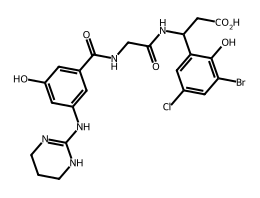 O=C(O)CC(NC(=O)CNC(=O)c1cc(O)cc(NC2=NCCCN2)c1)c1cc(Cl)cc(Br)c1O